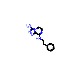 Nc1nnc2c(NCCc3ccccc3)nccn12